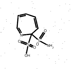 NS(=O)(=O)C1(S(=O)(=O)O)C=CC=CC=N1